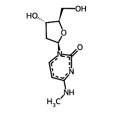 CNc1ccn([C@H]2C[C@H](O)[C@@H](CO)O2)c(=O)n1